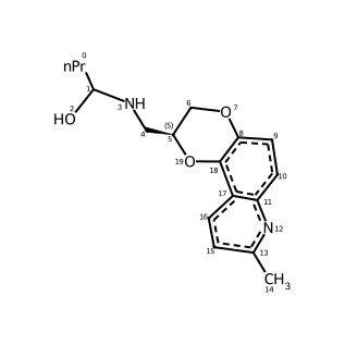 CCCC(O)NC[C@H]1COc2ccc3nc(C)ccc3c2O1